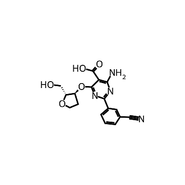 N#Cc1cccc(-c2nc(N)c(C(=O)O)c(O[C@H]3CCO[C@@H]3CO)n2)c1